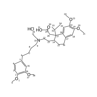 COc1ccc(CCCCN(C)CCC2CCc3cc(OC)c(OC)cc3C2(CC(=O)O)C(C)C)cc1OC.Cl